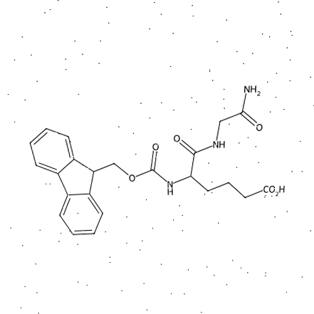 NC(=O)CNC(=O)C(CCCC(=O)O)NC(=O)OCC1c2ccccc2-c2ccccc21